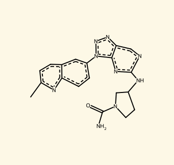 Cc1ccc2cc(-n3nnc4cnc(NC5CCN(C(N)=O)C5)nc43)ccc2n1